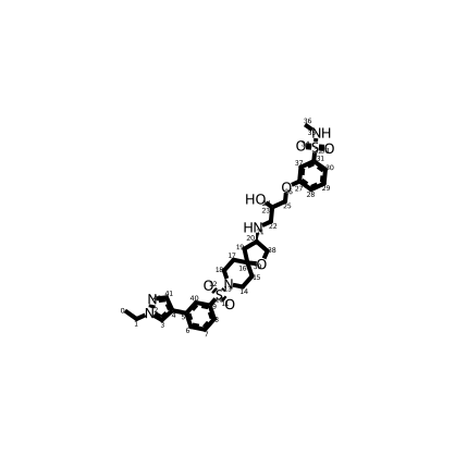 CCn1cc(-c2cccc(S(=O)(=O)N3CCC4(CC3)C[C@@H](NCC(O)COc3cccc(S(=O)(=O)NC)c3)CO4)c2)cn1